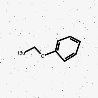 CC(C)(C)COc1ccccc1